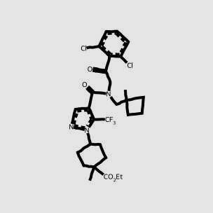 CCOC(=O)C1(C)CCC(n2ncc(C(=O)N(CC(=O)c3c(Cl)cccc3Cl)CC3(C)CCC3)c2C(F)(F)F)CC1